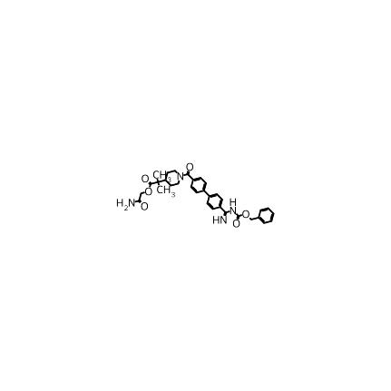 CC(C)(C(=O)OCC(N)=O)C1CCN(C(=O)c2ccc(-c3ccc(C(=N)NC(=O)OCc4ccccc4)cc3)cc2)CC1